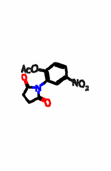 CC(=O)Oc1ccc([N+](=O)[O-])cc1N1C(=O)CCC1=O